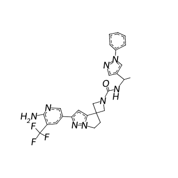 CC(NC(=O)N1CC2(CCn3nc(-c4cnc(N)c(C(F)(F)F)c4)cc32)C1)c1cnn(-c2ccccc2)c1